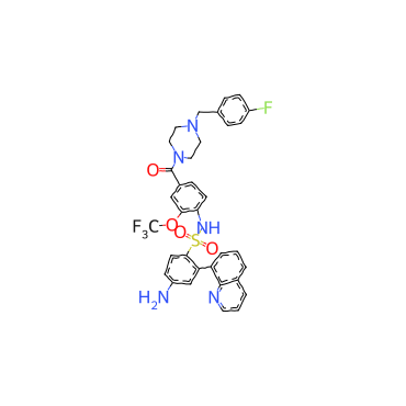 Nc1ccc(S(=O)(=O)Nc2ccc(C(=O)N3CCN(Cc4ccc(F)cc4)CC3)cc2OC(F)(F)F)c(-c2cccc3cccnc23)c1